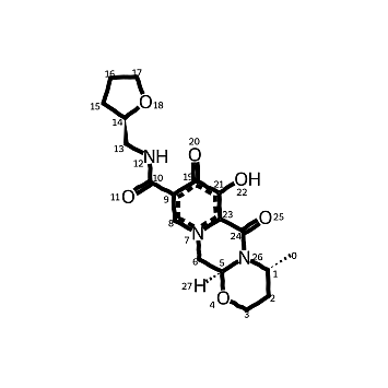 C[C@@H]1CCO[C@H]2Cn3cc(C(=O)NC[C@H]4CCCO4)c(=O)c(O)c3C(=O)N12